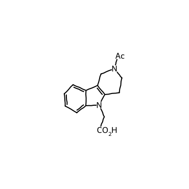 CC(=O)N1CCc2c(c3ccccc3n2CC(=O)O)C1